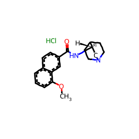 COc1cccc2ccc(C(=O)N[C@H]3CN4CCC3CC4)cc12.Cl